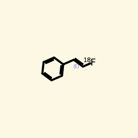 [18F]/C=C/c1ccccc1